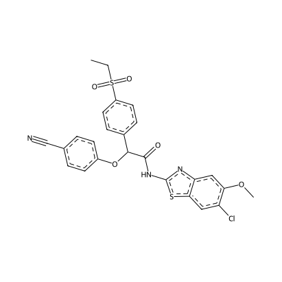 CCS(=O)(=O)c1ccc(C(Oc2ccc(C#N)cc2)C(=O)Nc2nc3cc(OC)c(Cl)cc3s2)cc1